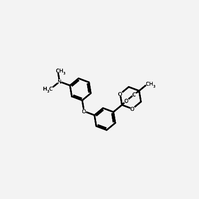 CN(C)c1cccc(Oc2cccc(C34OCC(C)(CO3)CO4)c2)c1